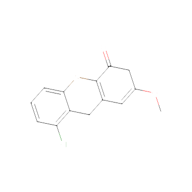 COC1=CC2=C(Sc3cccc(Cl)c3C2)C(=O)C1